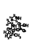 CC(C)(C)OC(=O)NC1([C@@H]2CCNC2)CC1.O=C(O)C(=O)O